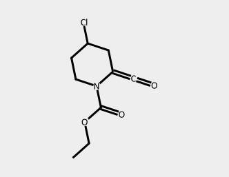 CCOC(=O)N1CCC(Cl)CC1=C=O